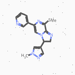 CSC1=NC(c2cccnc2)=CN2C1=NCC2c1cnn(C)c1